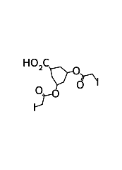 O=C(CI)OC1CC(OC(=O)CI)CC(C(=O)O)C1